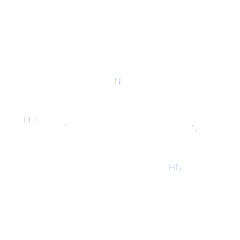 COc1ccnc(CCc2ncc[nH]2)c1